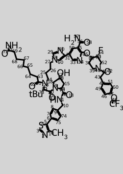 Cc1ncsc1-c1ccc(CNC(=O)[C@@H]2C[C@@H](O)CN2C(=O)[C@@H](N(CCCCn2cnc(-c3cnc(O[C@@H]4CCN(C(=O)Cc5ccc(OC(F)(F)F)cc5)C[C@H]4F)c(C(N)=O)c3)c2)C(=O)CCCCCCCC(N)=O)C(C)(C)C)cc1